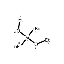 CCC[Si](OCC)(OCC)C(C)(C)C